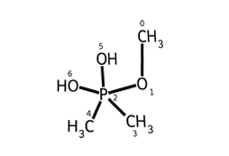 COP(C)(C)(O)O